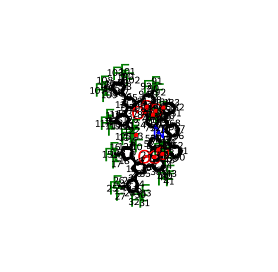 O=C(Oc1c(-c2cc(C(F)(F)F)cc(C(F)(F)F)c2)cc(-c2cc(C(F)(F)F)cc(C(F)(F)F)c2)cc1-c1cc(C(F)(F)F)cc(C(F)(F)F)c1)c1ccc2c3c1Oc1ccccc1B3c1cccc3c1N2c1ccc(C(=O)Oc2c(-c4cc(C(F)(F)F)cc(C(F)(F)F)c4)cc(-c4cc(C(F)(F)F)cc(C(F)(F)F)c4)cc2-c2cc(C(F)(F)F)cc(C(F)(F)F)c2)c2c1B3c1ccccc1O2